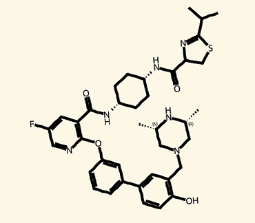 CC(C)C1=NC(C(=O)N[C@H]2CC[C@@H](NC(=O)c3cc(F)cnc3Oc3cccc(-c4ccc(O)c(CN5C[C@@H](C)N[C@@H](C)C5)c4)c3)CC2)CS1